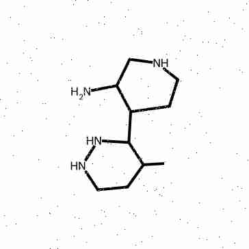 CC1CCNNC1C1CCNCC1N